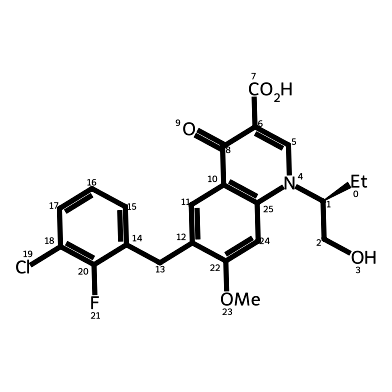 CC[C@@H](CO)n1cc(C(=O)O)c(=O)c2cc(Cc3cccc(Cl)c3F)c(OC)cc21